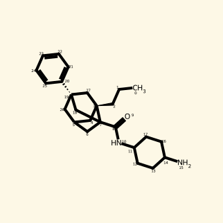 CCC[C@]12CC3CC1(C(=O)NC1CCC(N)CC1)C[C@@](c1ccccc1)(C3)C2